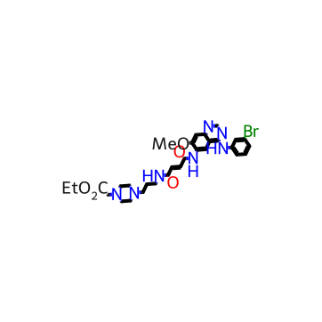 CCOC(=O)CN1CCN(CCCNC(=O)C=CC(=O)Nc2cc3c(Nc4cccc(Br)c4)ncnc3cc2OC)CC1